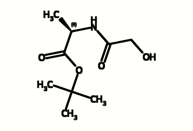 C[C@@H](NC(=O)CO)C(=O)OC(C)(C)C